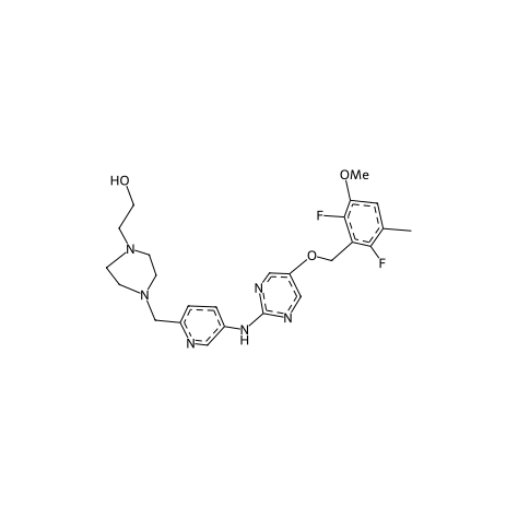 COc1cc(C)c(F)c(COc2cnc(Nc3ccc(CN4CCN(CCO)CC4)nc3)nc2)c1F